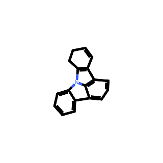 C1=Cc2c(n3c4ccccc4c4cccc2c43)CC1